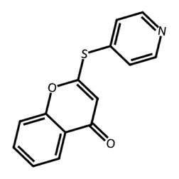 O=c1cc(Sc2ccncc2)oc2ccccc12